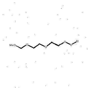 CCOOCCOCCOCOC